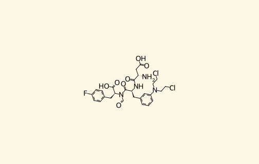 N[C@@H](CC(=O)O)C(=O)N[C@@H](Cc1cccc(N(CCCl)CCCl)c1)C(=O)N(C=O)[C@@H](Cc1ccc(F)cc1)C(=O)O